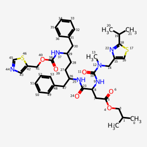 CC(C)COC(=O)CC(NC(=O)N(C)Cc1csc(C(C)C)n1)C(=O)NC(CCC(Cc1ccccc1)NC(=O)OCc1cncs1)Cc1ccccc1